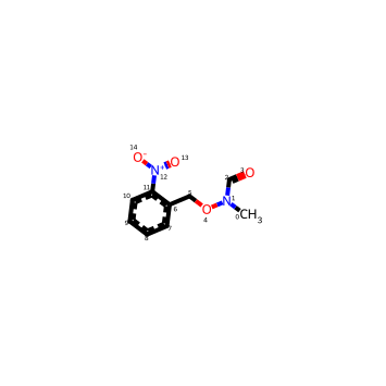 CN(C=O)OCc1ccccc1[N+](=O)[O-]